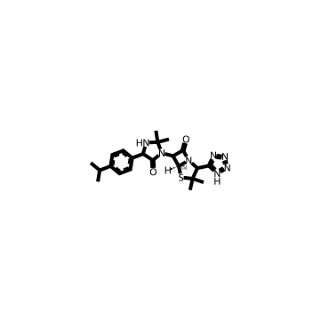 CC(C)c1ccc(C2NC(C)(C)N(C3C(=O)N4C(c5nnn[nH]5)C(C)(C)S[C@@H]34)C2=O)cc1